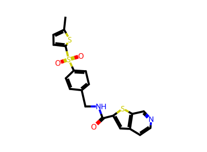 Cc1ccc(S(=O)(=O)c2ccc(CNC(=O)c3cc4ccncc4s3)cc2)s1